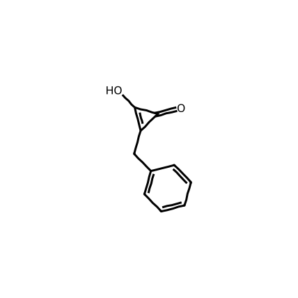 O=c1c(O)c1Cc1ccccc1